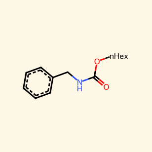 CCCCCCOC(=O)NCc1ccccc1